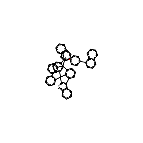 c1ccc(C(c2ccccc2)c2cccc3c2C2(c4ccccc4-c4ccc(N(c5ccccc5)c5ccc(-c6cccc7ccccc67)cc5)cc42)c2sc4ccccc4c2-3)cc1